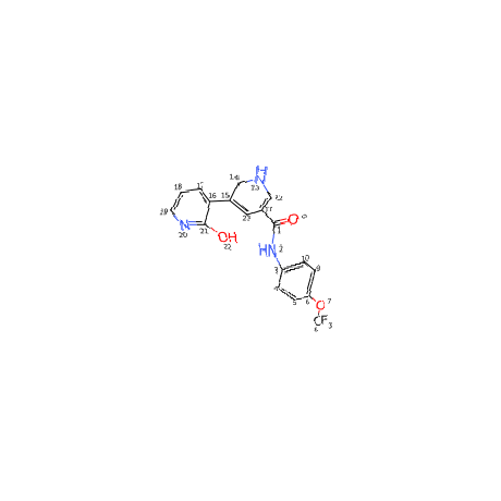 O=C(Nc1ccc(OC(F)(F)F)cc1)C1=CNCC(c2cccnc2O)=C1